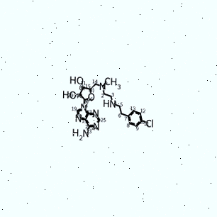 CN(CCNCCc1ccc(Cl)cc1)C[C@H]1O[C@@H](n2cnc3c(N)ncnc32)[C@H](O)[C@@H]1O